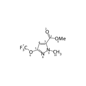 COC(=O)c1cc(OC(F)(F)F)nn1C